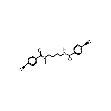 N#Cc1ccc(C(=O)NCCCCNC(=O)c2ccc(C#N)cc2)cc1